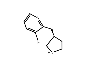 Fc1cccnc1C[C@H]1CCNC1